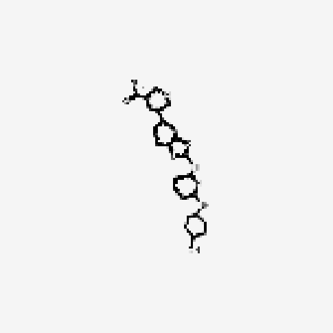 NC(=O)c1cncc(-c2ccc3nc(Nc4cccc(NC5CCC(O)CC5)n4)sc3c2)c1